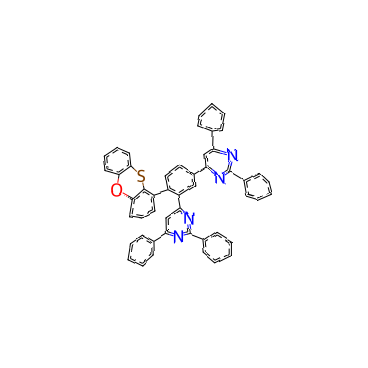 c1ccc(-c2cc(-c3ccc(-c4cccc5c4Sc4ccccc4O5)c(-c4cc(-c5ccccc5)nc(-c5ccccc5)n4)c3)nc(-c3ccccc3)n2)cc1